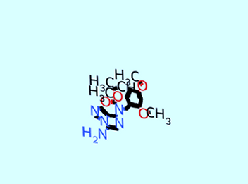 COc1ccc(CN(C(=O)OC(C)(C)C)c2ncc(N)n3cncc23)c(OC)c1